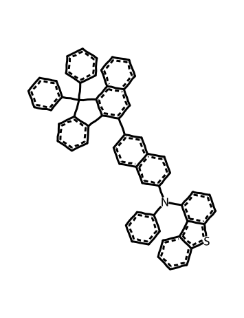 c1ccc(N(c2ccc3cc(-c4cc5ccccc5c5c4-c4ccccc4C5(c4ccccc4)c4ccccc4)ccc3c2)c2cccc3sc4ccccc4c23)cc1